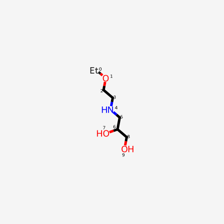 CCOCCNCC(O)CO